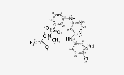 CN(OC(=O)C(F)(F)F)S(=O)(=O)c1cccc(Nc2cc(Nc3ccc(Cl)c(Cl)c3)ncn2)c1